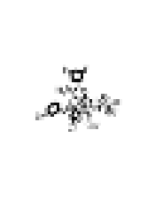 CCCC(CCC)S(=O)(=O)C[C@H](NS(=O)(=O)c1ccc(Cl)s1)C(=O)O[C@H](CNCc1cccc(CC)c1)[C@@H](N)Cc1cc(F)cc(F)c1.Cl